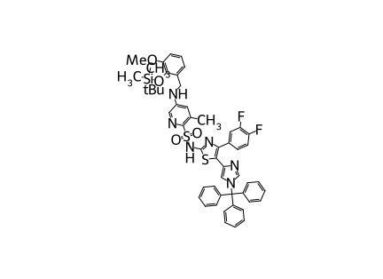 COc1cccc(CNc2cnc(S(=O)(=O)Nc3nc(-c4ccc(F)c(F)c4)c(-c4cn(C(c5ccccc5)(c5ccccc5)c5ccccc5)cn4)s3)c(C)c2)c1O[Si](C)(C)C(C)(C)C